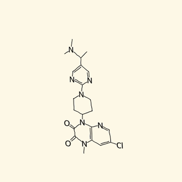 CC(c1cnc(N2CCC(n3c(=O)c(=O)n(C)c4cc(Cl)cnc43)CC2)nc1)N(C)C